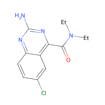 CCN(CC)C(=O)c1nc(N)nc2ccc(Cl)cc12